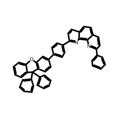 c1ccc(-c2ccc3ccc4ccc(-c5ccc(-c6ccc7c(c6)Oc6ccccc6C7(c6ccccc6)c6ccccc6)cc5)nc4c3n2)cc1